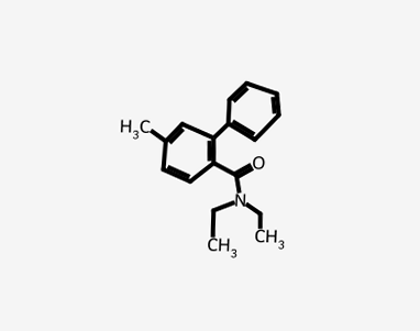 CCN(CC)C(=O)c1ccc(C)cc1-c1ccccc1